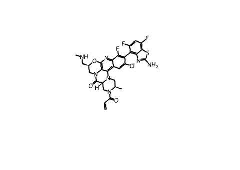 C=CC(=O)N1C[C@@H]2C(=O)N3C[C@@H](CNC)Oc4nc5c(F)c(-c6c(F)cc(F)c7sc(N)nc67)c(Cl)cc5c(c43)N2C[C@H]1C